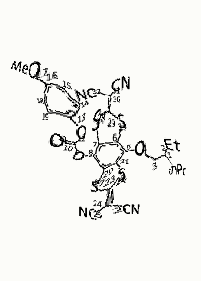 CCCC(CC)COc1c2c(c(OC(=O)Oc3ccc(OC)cc3)c3c1SC(=C(C#N)C#N)S3)SC(=C(C#N)C#N)S2